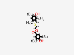 Cc1cc(C(C)(C)C)c(O)c(C)c1CSCCOC(=O)c1cc(C(C)(C)C)c(O)c(C(C)(C)C)c1